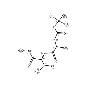 CNC(=O)[C@@H](NC(=O)[C@H](C)NC(=O)OC(C)(C)C)C(C)C